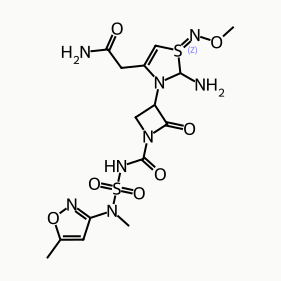 CO/N=S1/C=C(CC(N)=O)N(C2CN(C(=O)NS(=O)(=O)N(C)c3cc(C)on3)C2=O)C1N